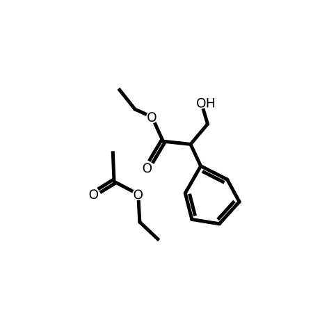 CCOC(=O)C(CO)c1ccccc1.CCOC(C)=O